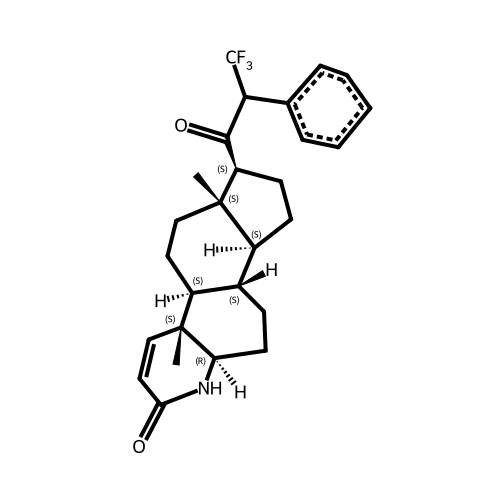 C[C@]12C=CC(=O)N[C@@H]1CC[C@@H]1[C@@H]2CC[C@]2(C)[C@@H](C(=O)C(c3ccccc3)C(F)(F)F)CC[C@@H]12